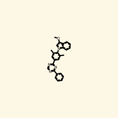 COc1cn(-c2c(C)cc(-c3ncnc(-c4ccccc4)n3)cc2C)c2ccccc12